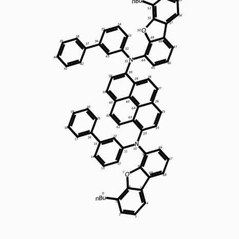 CCCCc1cccc2c1oc1c(N(c3cccc(-c4ccccc4)c3)c3ccc4ccc5c(N(c6cccc(-c7ccccc7)c6)c6cccc7c6oc6c(CCCC)cccc67)ccc6ccc3c4c65)cccc12